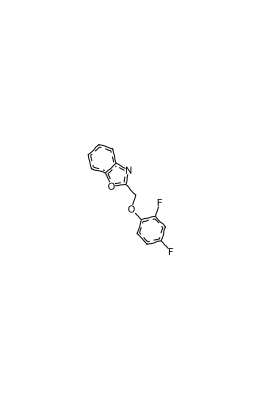 Fc1ccc(OCc2nc3ccccc3o2)c(F)c1